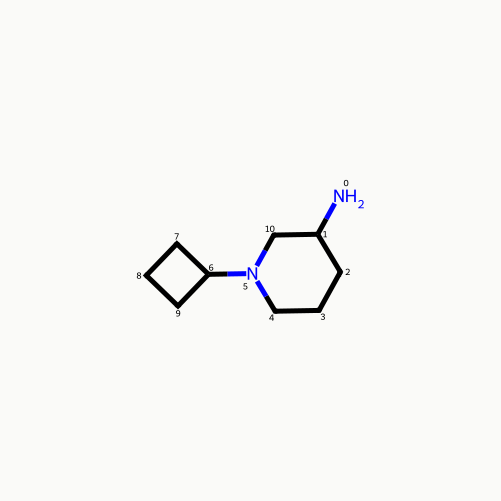 NC1[CH]CCN(C2CCC2)C1